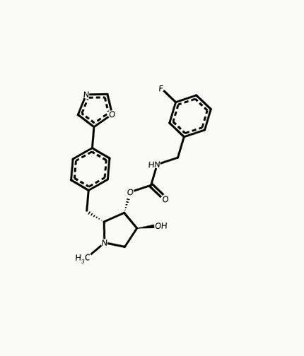 CN1C[C@H](O)[C@@H](OC(=O)NCc2cccc(F)c2)[C@H]1Cc1ccc(-c2cnco2)cc1